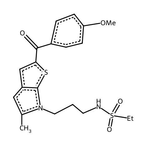 CCS(=O)(=O)NCCCn1c(C)cc2cc(C(=O)c3ccc(OC)cc3)sc21